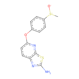 C[S+]([O-])c1ccc(Oc2ccc3nc(N)sc3n2)cc1